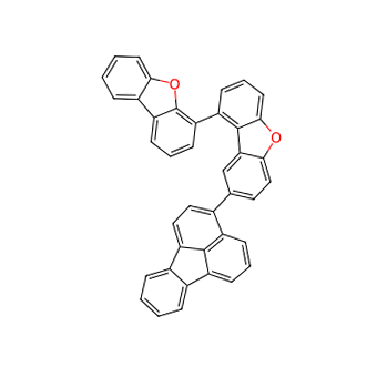 c1ccc2c(c1)-c1cccc3c(-c4ccc5oc6cccc(-c7cccc8c7oc7ccccc78)c6c5c4)ccc-2c13